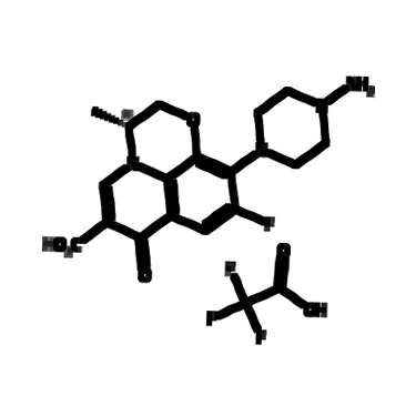 C[C@@H]1COc2c(N3CCN(N)CC3)c(F)cc3c(=O)c(C(=O)O)cn1c23.O=C(O)C(F)(F)F